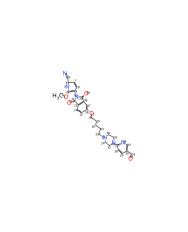 COc1nc(C#N)ccc1N1C(=O)c2ccc(OCCCCCN3CCN(c4ccc(C=O)cn4)CC3)cc2C1=O